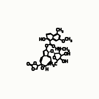 CN[C@H]1C(O)[C@@H](O)C(C)O[C@@H]1O[C@@H]1/C2=C/C#C[C@H]3O[C@@]3([C@H]3COC(=O)O3)C#CC2=C[C@H]1OC(=O)c1c(O)ccc2c(C)cc(OC)cc12